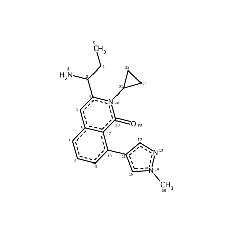 CCC(N)c1cc2cccc(-c3cnn(C)c3)c2c(=O)n1C1CC1